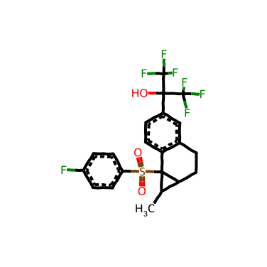 CC1C2CCc3cc(C(O)(C(F)(F)F)C(F)(F)F)ccc3C12S(=O)(=O)c1ccc(F)cc1